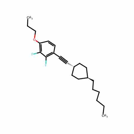 CCCCCC[C@H]1CC[C@H](C#Cc2ccc(OCCC)c(F)c2F)CC1